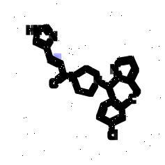 O=C(/C=C/c1c[nH]cn1)N1CCN(C2c3ccc(Cl)cc3CCc3cccnc32)CC1